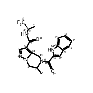 CC1Cn2ncc(C(=O)N[C@H](C)C(F)(F)F)c2CN1C(=O)c1cc2ccccc2[nH]1